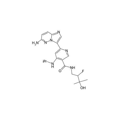 CC(C)Nc1cc(-c2cnc3ccc(N)nn23)ncc1C(=O)NCC(F)C(C)(C)O